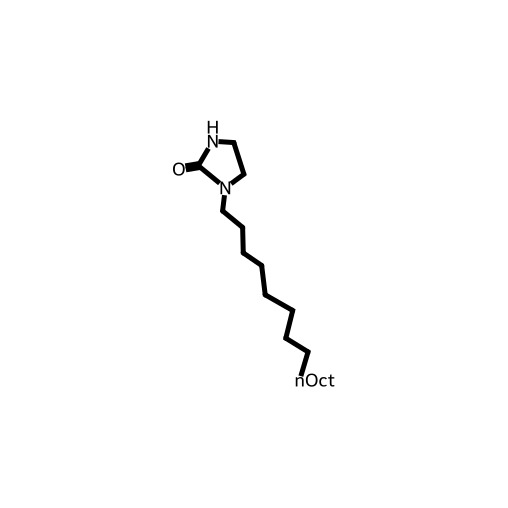 CCCCCCCCCCCCCCCCN1CCNC1=O